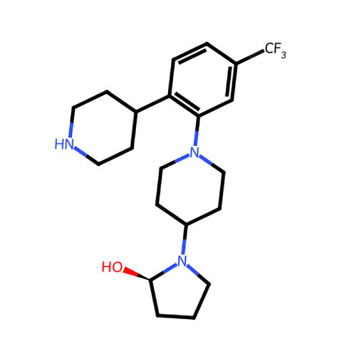 O[C@@H]1CCCN1C1CCN(c2cc(C(F)(F)F)ccc2C2CCNCC2)CC1